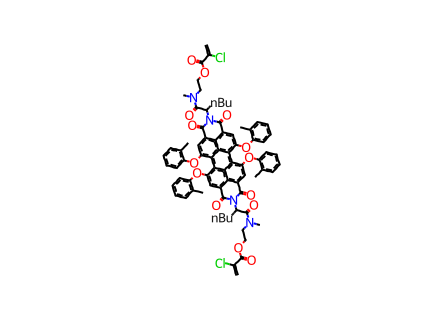 C=C(Cl)C(=O)OCCN(C)C(=O)C(CCCC)N1C(=O)c2cc(Oc3ccccc3C)c3c4c(Oc5ccccc5C)cc5c6c(cc(Oc7ccccc7C)c(c7c(Oc8ccccc8C)cc(c2c37)C1=O)c64)C(=O)N(C(CCCC)C(=O)N(C)CCOC(=O)C(=C)Cl)C5=O